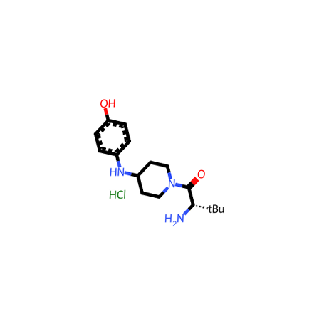 CC(C)(C)[C@H](N)C(=O)N1CCC(Nc2ccc(O)cc2)CC1.Cl